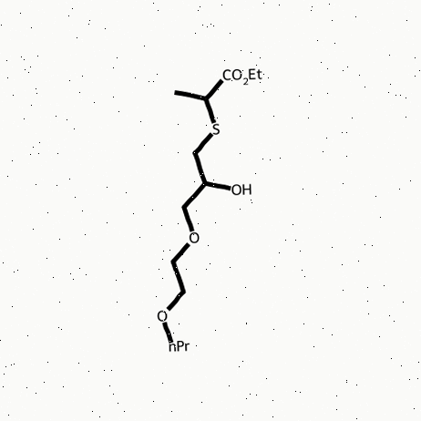 CCCOCCOCC(O)CSC(C)C(=O)OCC